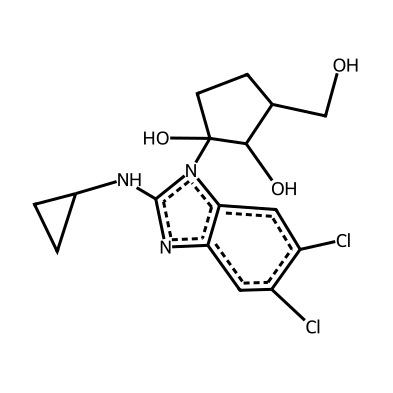 OCC1CCC(O)(n2c(NC3CC3)nc3cc(Cl)c(Cl)cc32)C1O